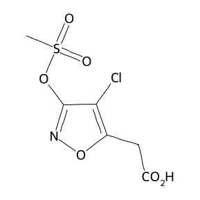 CS(=O)(=O)Oc1noc(CC(=O)O)c1Cl